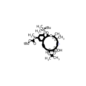 C[C@@H]1/C=C\[C@@H](O)[C@H]2OC(C)(C)O[C@H]2CC#Cc2cc(N(C)C(=O)OC(C)(C)C)cc(O[Si](C)(C)C(C)(C)C)c2C(=O)O[C@H]1C